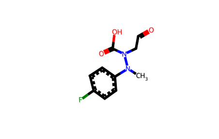 CN(c1ccc(F)cc1)N(CC=O)C(=O)O